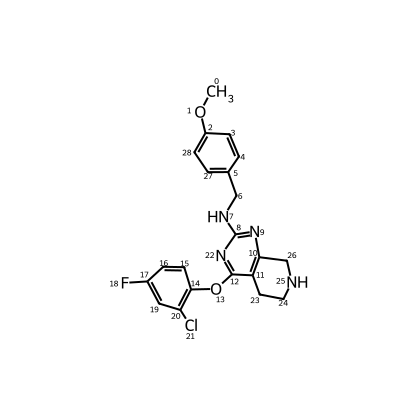 COc1ccc(CNc2nc3c(c(Oc4ccc(F)cc4Cl)n2)CCNC3)cc1